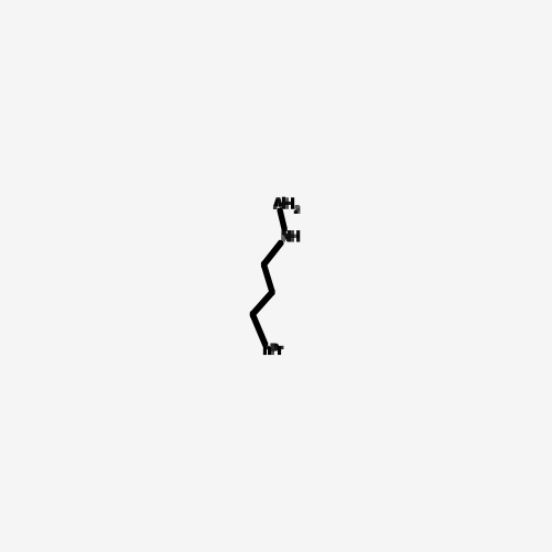 CCCCCC[NH][AlH2]